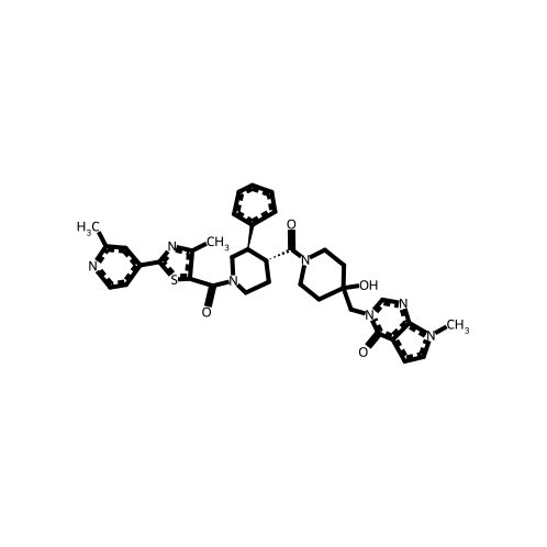 Cc1cc(-c2nc(C)c(C(=O)N3CC[C@@H](C(=O)N4CCC(O)(Cn5cnc6c(ccn6C)c5=O)CC4)[C@H](c4ccccc4)C3)s2)ccn1